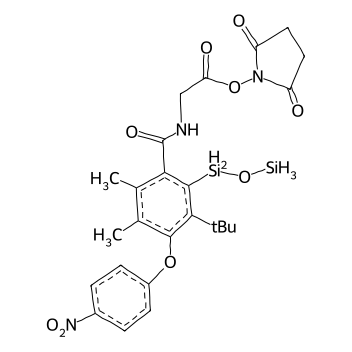 Cc1c(C)c(C(=O)NCC(=O)ON2C(=O)CCC2=O)c([SiH2]O[SiH3])c(C(C)(C)C)c1Oc1ccc([N+](=O)[O-])cc1